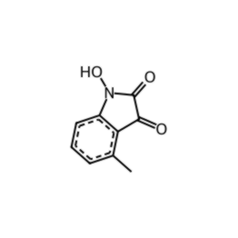 Cc1cccc2c1C(=O)C(=O)N2O